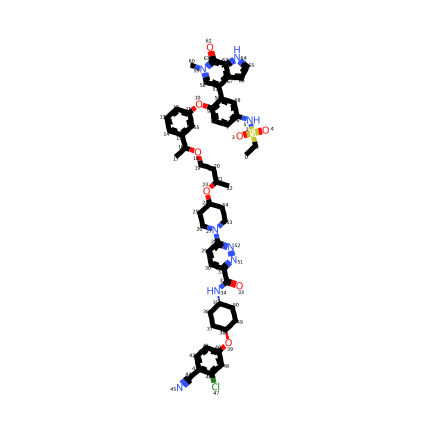 CCS(=O)(=O)Nc1ccc(Oc2cccc(C(C)OCCC(C)OC3CCN(c4ccc(C(=O)N[C@H]5CC[C@H](Oc6ccc(C#N)c(Cl)c6)CC5)nn4)CC3)c2)c(-c2cn(C)c(=O)c3[nH]ccc23)c1